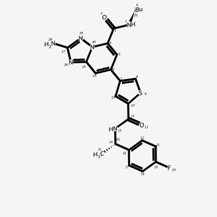 CC[C@H](C)NC(=O)c1cc(-c2csc(C(=O)N[C@@H](C)c3ccc(F)cc3)c2)cc2nc(N)nn12